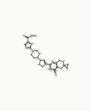 CNC(=O)c1csc(N2CCN([C@H]3C=C(c4nc5c(c(=O)[nH]4)CC4(CC5)CC4)CC3)CC2)n1